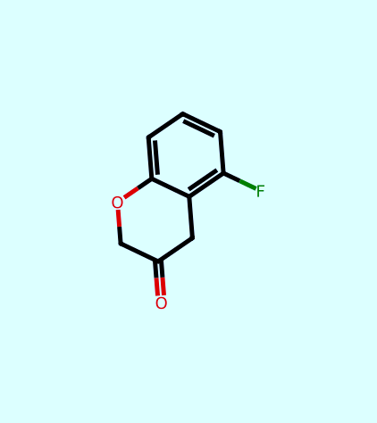 O=C1COc2cccc(F)c2C1